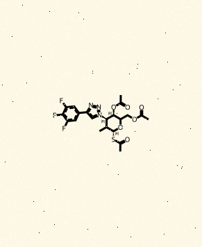 CC(=O)OCC1O[C@H](SC(C)=O)C(C)[C@@H](n2cc(-c3cc(F)c(F)c(F)c3)nn2)[C@H]1OC(C)=O